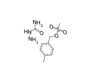 Cc1ccc(COS(C)(=O)=O)cc1.NNC(N)=O